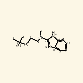 CCC(C)(C)SCCN(C)c1nc2ccccc2[nH]1